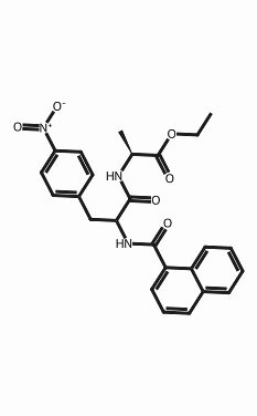 CCOC(=O)[C@H](C)NC(=O)C(Cc1ccc([N+](=O)[O-])cc1)NC(=O)c1cccc2ccccc12